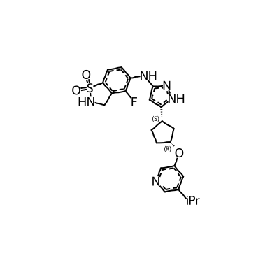 CC(C)c1cncc(O[C@@H]2CC[C@H](c3cc(Nc4ccc5c(c4F)CNS5(=O)=O)n[nH]3)C2)c1